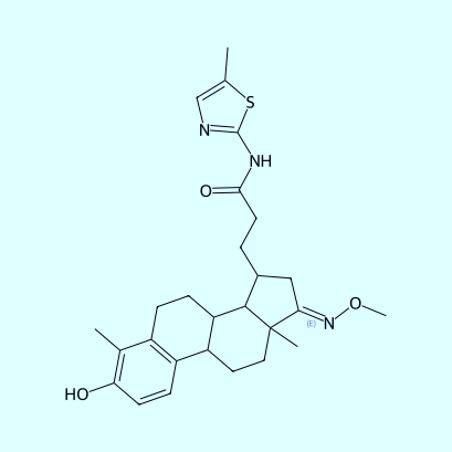 CO/N=C1\CC(CCC(=O)Nc2ncc(C)s2)C2C3CCc4c(ccc(O)c4C)C3CCC12C